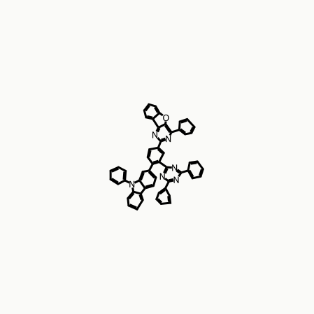 c1ccc(-c2nc(-c3ccccc3)nc(-c3cc(-c4nc(-c5ccccc5)c5oc6ccccc6c5n4)ccc3-c3ccc4c5ccccc5n(-c5ccccc5)c4c3)n2)cc1